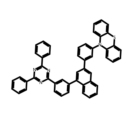 c1ccc(-c2nc(-c3ccccc3)nc(-c3cccc(-c4cc(-c5cccc(N6c7ccccc7Sc7ccccc76)c5)cc5ccccc45)c3)n2)cc1